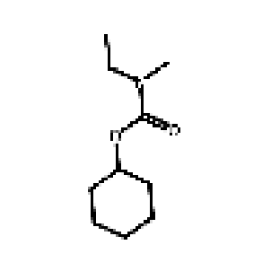 [CH2]CN(C)C(=O)OC1CCCCC1